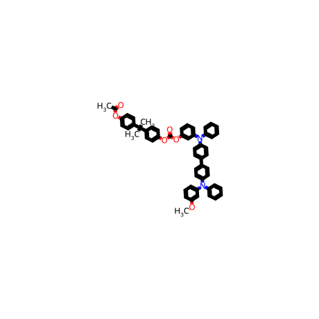 COc1cccc(N(c2ccccc2)c2ccc(-c3ccc(N(c4ccccc4)c4cccc(OC(=O)Oc5ccc(C(C)(C)c6ccc(OC(C)=O)cc6)cc5)c4)cc3)cc2)c1